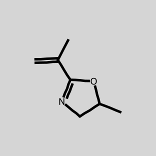 C=C(C)C1=NCC(C)O1